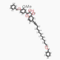 COc1cc(-c2oc3ccc(C#CCCCCCCCCCCCOCc4ccccc4)cc3c(=O)c2O)ccc1OCc1ccccc1